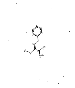 CCO/C(=N/Cc1ccccc1)C(NC)C(C)C